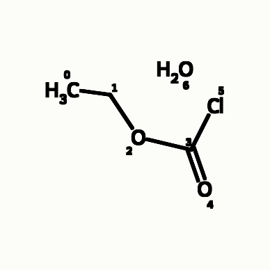 CCOC(=O)Cl.O